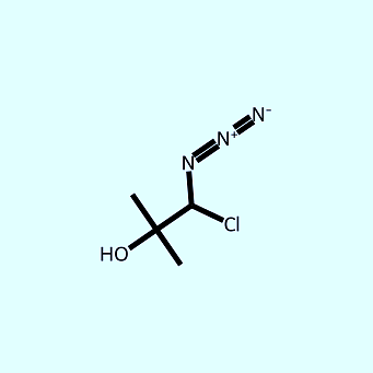 CC(C)(O)C(Cl)N=[N+]=[N-]